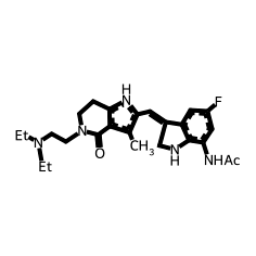 CCN(CC)CCN1CCc2[nH]c(C=C3CNc4c(NC(C)=O)cc(F)cc43)c(C)c2C1=O